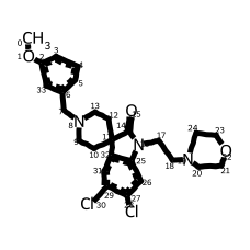 COc1cccc(CN2CCC3(CC2)C(=O)N(CCN2CCOCC2)c2cc(Cl)c(Cl)cc23)c1